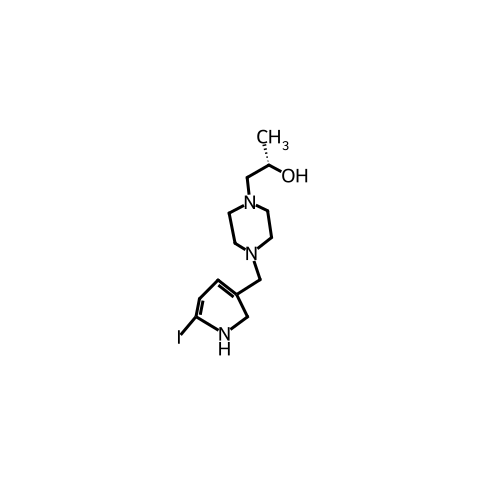 C[C@H](O)CN1CCN(CC2=CC=C(I)NC2)CC1